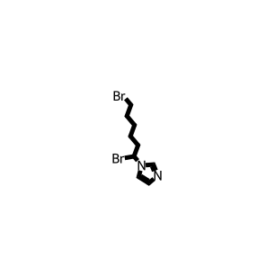 BrCCCCCC(Br)n1ccnc1